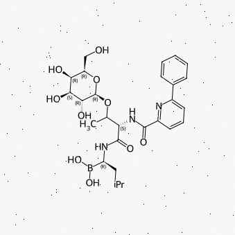 CC(C)C[C@H](NC(=O)[C@@H](NC(=O)c1cccc(-c2ccccc2)n1)C(C)O[C@@H]1O[C@H](CO)[C@H](O)[C@H](O)[C@H]1O)B(O)O